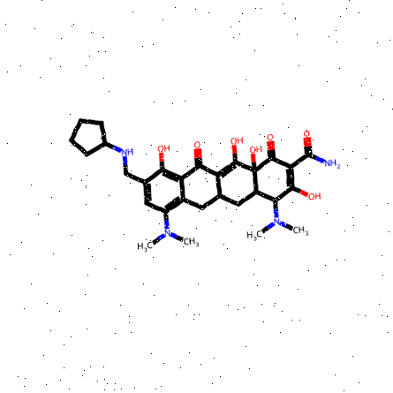 CN(C)c1cc(CNC2CCCC2)c(O)c2c1CC1CC3C(N(C)C)C(O)=C(C(N)=O)C(=O)C3(O)C(O)=C1C2=O